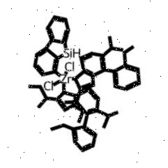 CCc1ccccc1-c1c(C(C)C)ccc2c1C=C(C(C)CC)[CH]2[Zr]([Cl])([Cl])([c]1cccc2c1[SiH2]c1ccccc1-2)[CH]1C(C(C)CC)=Cc2c1ccc(C(C)C)c2-c1ccccc1CC